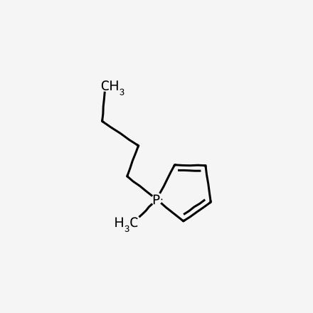 CCCC[P]1(C)C=CC=C1